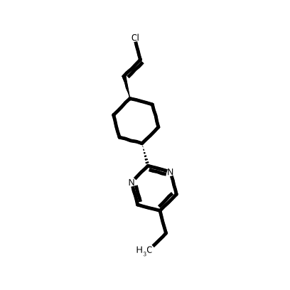 CCc1cnc([C@H]2CC[C@H](/C=C/Cl)CC2)nc1